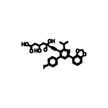 CC(C)c1nc(-c2cccc3c2OCO3)cc(-c2ccc(F)cc2)c1C#CP(=O)(O)CC(O)CC(=O)O